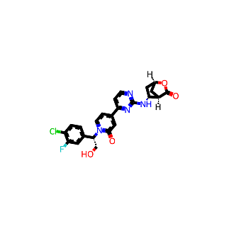 O=C1O[C@@H]2C[C@@H](Nc3nccc(-c4ccn([C@H](CO)c5ccc(Cl)c(F)c5)c(=O)c4)n3)[C@H]1C2